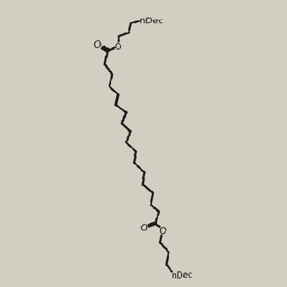 CCCCCCCCCCCCCOC(=O)CCCCCCCCCCCCCCCCC(=O)OCCCCCCCCCCCCC